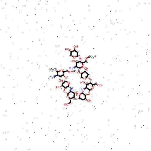 CO[C@H]1OC(COS(=O)(=O)O)[C@@H](O[C@H]2C[C@H](O)[C@H](O[C@H]3OC(CO)[C@H](O[C@H]4C[C@H](O)[C@H](O[C@H]5OC(CO)[C@@H](O[C@H]6C[C@H](O)[C@H](O[C@@H]7OC(COS(=O)(=O)O)[C@H](O[C@H]8C[C@H](O)[C@H](O)CO8)[C@H](O)C7N)CO6)[C@H](O)C5N)CO4)[C@H](O)C3N)CO2)[C@H](O)C1N